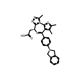 Cc1sc2c(c1C)C(c1ccc(N3Cc4ccccc4C3)cc1)=N[C@@H](CC(=O)O)c1nnc(C)n1-2